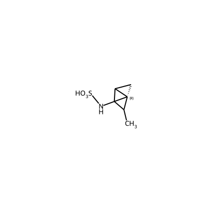 CC1C2(NS(=O)(=O)O)C3C[C@@]132